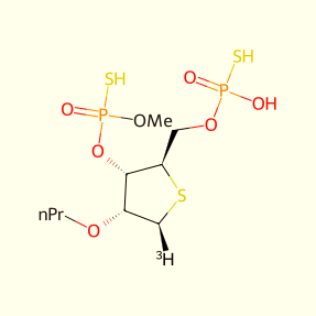 [3H][C@@H]1S[C@H](COP(=O)(O)S)[C@@H](OP(=O)(S)OC)[C@H]1OCCC